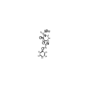 C[C@@H](N1CCc2nc(COc3ccccc3)oc2C1=O)C(C)(C)C